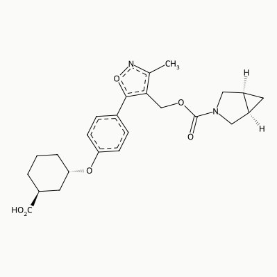 Cc1noc(-c2ccc(O[C@H]3CCC[C@H](C(=O)O)C3)cc2)c1COC(=O)N1C[C@H]2C[C@H]2C1